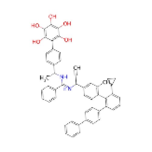 C#CC(/N=C(\NC(C)c1ccc(-c2c(O)c(O)c(O)c(O)c2O)cc1)c1ccccc1)c1ccc(-c2c(-c3ccc(-c4ccccc4)cc3)cccc2C2CC2)c(C)c1